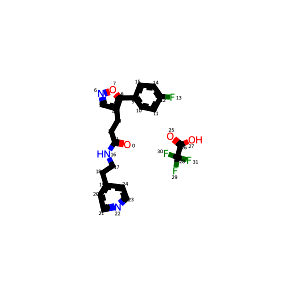 O=C(CCc1cnoc1-c1ccc(F)cc1)NCCc1ccncc1.O=C(O)C(F)(F)F